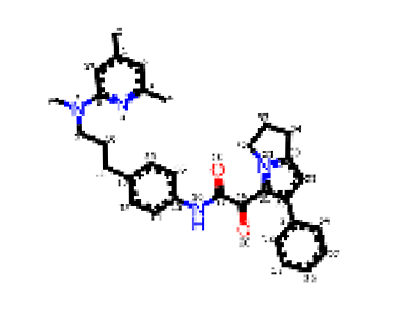 Cc1cc(C)nc(N(C)CCCc2ccc(NC(=O)C(=O)c3c(-c4ccccc4)cc4n3CCC4)cc2)c1